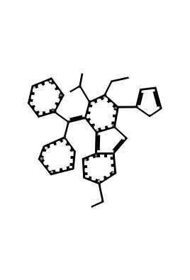 CCc1ccc2c(c1)=[C]c1c(C3=CC=CC3)c(CC)c(C(C)C)c(=C(c3ccccc3)c3ccccc3)c1=2